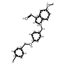 COc1ccc2c(c1)c(C=O)cn2Cc1ccc(OCc2ccc(C)cc2)cc1